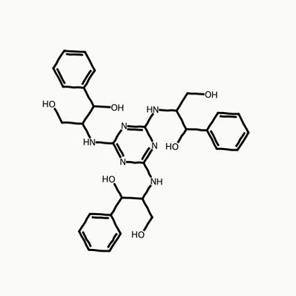 OCC(Nc1nc(NC(CO)C(O)c2ccccc2)nc(NC(CO)C(O)c2ccccc2)n1)C(O)c1ccccc1